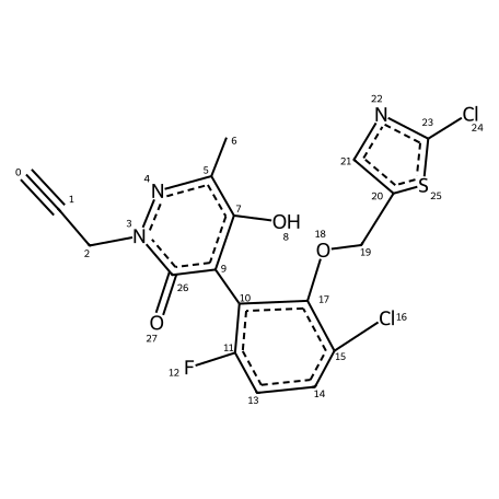 C#CCn1nc(C)c(O)c(-c2c(F)ccc(Cl)c2OCc2cnc(Cl)s2)c1=O